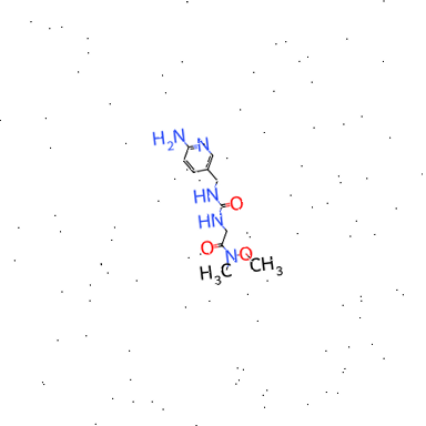 CON(C)C(=O)CNC(=O)NCc1ccc(N)nc1